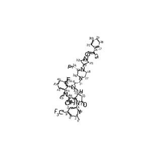 Cc1cc(C(F)(F)F)cc(N2C(=O)C[C@@H]3CN(CCN4CCN(C5CN(OC(=O)c6ccccc6)C5)[C@@H](CF)C4)c4c(F)cccc4N(C)C(=O)[C@H]32)n1